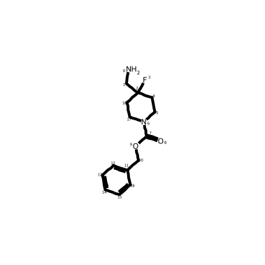 NCC1(F)CCN(C(=O)OCc2ccccc2)CC1